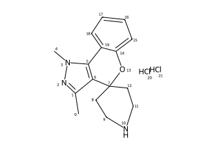 Cc1nn(C)c2c1C1(CCNCC1)Oc1ccccc1-2.Cl.Cl